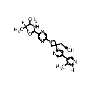 C#CCC1(n2cc(-c3cn[nH]c3C)cn2)CN(c2cnc(C(=O)NC(C)C(C)(F)F)cn2)C1